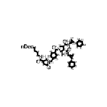 CCCCCCCCCCCCCCNC(=O)C1CC(=O)N(Cc2ccc(C(=O)N3C[C@@H](C(=O)N[C@H]4C[C@@H]4c4ccccc4)[C@H](C(=O)N[C@H]4C[C@@H]4c4ccccc4)C3)cc2)C1